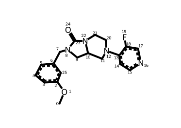 COc1cccc(CN2CC3CN(c4ccncc4F)CCN3C2=O)c1